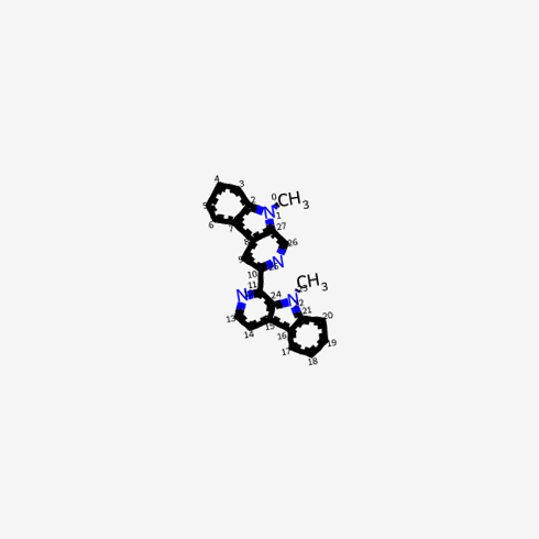 Cn1c2ccccc2c2cc(-c3nccc4c5ccccc5n(C)c34)ncc21